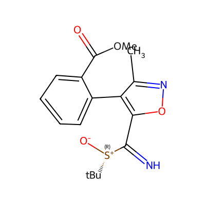 COC(=O)c1ccccc1-c1c(C)noc1C(=N)[S@@+]([O-])C(C)(C)C